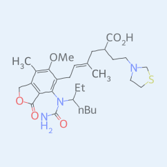 CCCCC(CC)N(C(N)=O)c1c(C/C=C(\C)CC(CCN2CCSC2)C(=O)O)c(OC)c(C)c2c1C(=O)OC2